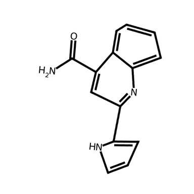 NC(=O)c1cc(-c2ccc[nH]2)nc2ccccc12